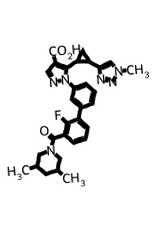 CC1CC(C)CN(C(=O)c2cccc(-c3cccc(-n4ncc(C(=O)O)c4C4CC4c4cn(C)nn4)c3)c2F)C1